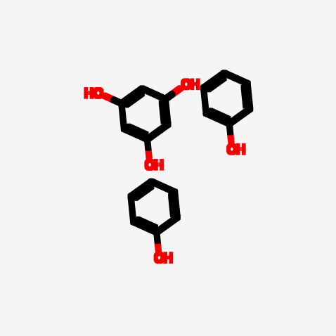 Oc1cc(O)cc(O)c1.Oc1ccccc1.Oc1ccccc1